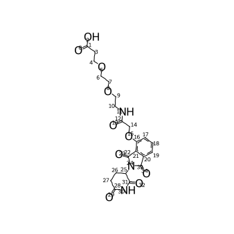 O=C(O)CCOCCOCCNC(=O)COc1cccc2c1C(=O)N(C1CCC(=O)NC1=O)C2=O